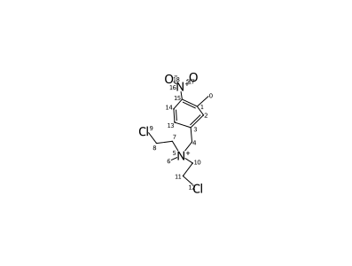 Cc1cc(C[N+](C)(CCCl)CCCl)ccc1[N+](=O)[O-]